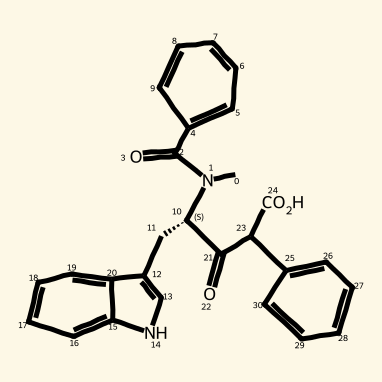 CN(C(=O)c1ccccc1)[C@@H](Cc1c[nH]c2ccccc12)C(=O)C(C(=O)O)c1ccccc1